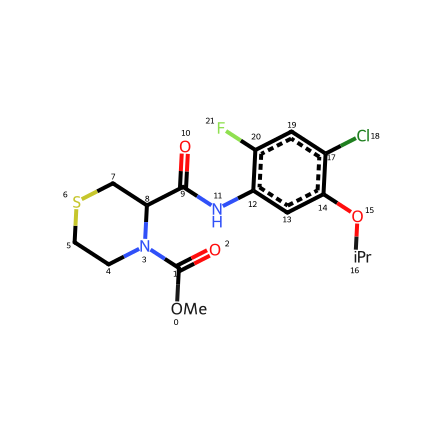 COC(=O)N1CCSCC1C(=O)Nc1cc(OC(C)C)c(Cl)cc1F